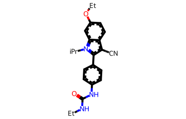 CCNC(=O)Nc1ccc(-c2c(C#N)c3ccc(OCC)cc3n2C(C)C)cc1